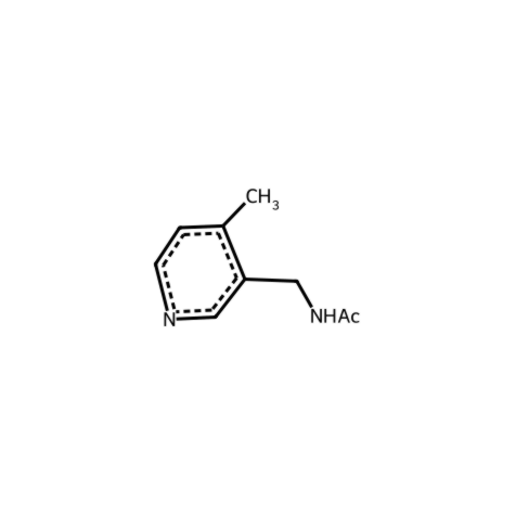 CC(=O)NCc1cnccc1C